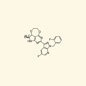 C[C@]12OCCOc3nc(-c4nn(Cc5ccccc5F)c5ncc(F)cc45)nc(c31)NC2=O